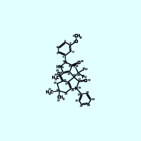 COc1cccc(-n2[nH]c(C)c(C3(C(F)(F)F)C(=O)N(c4ccccc4)C4=C3C(=O)CC(C)(C)C4)c2=O)c1